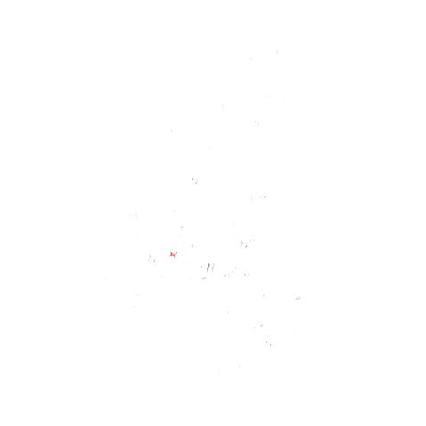 CSc1cccc2cc(O[Si](C(C)C)(C(C)C)C(C)C)cc(-c3ncc4c(N5C[C@H]6CC[C@@H](C5)N6C(=O)OC(C)(C)C)nc(OCC56CCCN5CC(F)C6)nc4c3F)c12